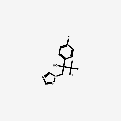 CC(C)(C#N)C(O)(Cn1cncn1)c1ccc(Cl)cc1